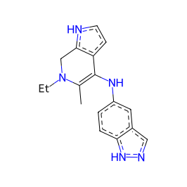 CCN1Cc2[nH]ccc2C(Nc2ccc3[nH]ncc3c2)=C1C